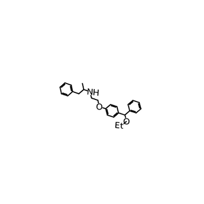 CCOC(c1ccccc1)c1ccc(OCCNC(C)Cc2ccccc2)cc1